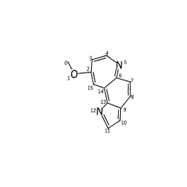 COc1ccnc2ccc3ccnc3c2c1